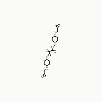 O=C(OCC1CCC(OCC2CO2)CC1)C(=O)OCC1CCC(OCC2CO2)CC1